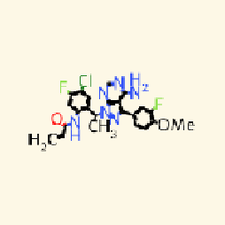 C=CC(=O)Nc1cc(F)c(Cl)cc1C(C)n1nc(-c2ccc(OC)c(F)c2)c2c(N)ncnc21